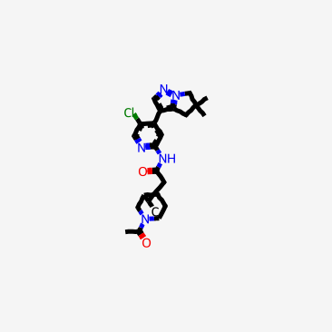 CC(=O)N1CC2CCC1CC2CC(=O)Nc1cc(-c2cnn3c2CC(C)(C)C3)c(Cl)cn1